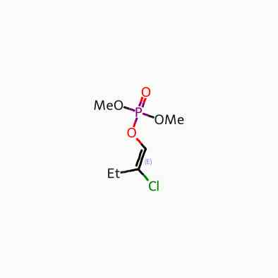 CC/C(Cl)=C\OP(=O)(OC)OC